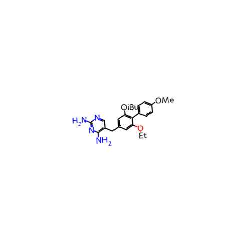 CCOc1cc(Cc2cnc(N)nc2N)cc(OCC(C)C)c1-c1ccc(OC)cc1